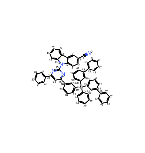 N#Cc1ccc2c(c1)c1ccccc1n2-c1nc(-c2ccccc2)cc(-c2cccc([Si](c3ccccc3)(c3cccc(-c4ccccc4)c3)c3cccc(-c4ccccc4)c3)c2)n1